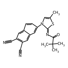 Cc1cn(-c2ccc3cc(C#N)c(C#N)cc3c2)c(=NC(=O)C(C)(C)C)s1